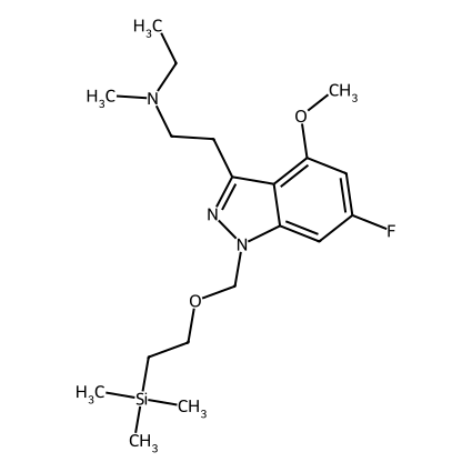 CCN(C)CCc1nn(COCC[Si](C)(C)C)c2cc(F)cc(OC)c12